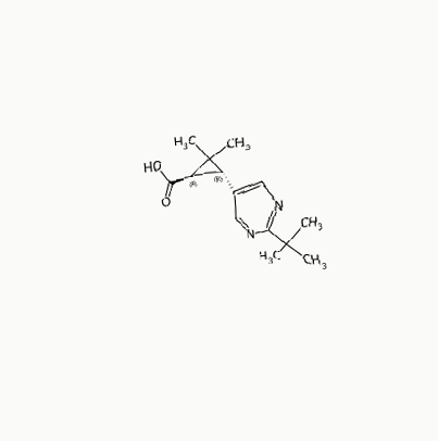 CC(C)(C)c1ncc([C@@H]2[C@@H](C(=O)O)C2(C)C)cn1